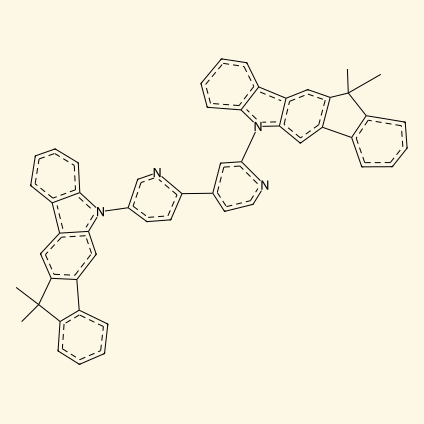 CC1(C)c2ccccc2-c2cc3c(cc21)c1ccccc1n3-c1ccc(-c2ccnc(-n3c4ccccc4c4cc5c(cc43)-c3ccccc3C5(C)C)c2)nc1